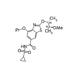 CO[C@@H](C)[C@@H](C)Oc1nc2c(OC(C)C)cc(C(=O)NS(=O)(=O)C3CC3)cc2s1